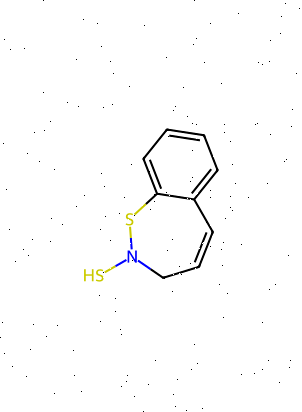 SN1CC=Cc2ccccc2S1